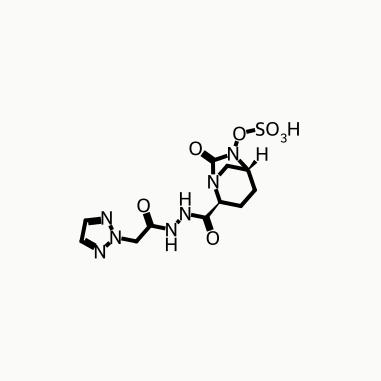 O=C(Cn1nccn1)NNC(=O)[C@@H]1CC[C@@H]2CN1C(=O)N2OS(=O)(=O)O